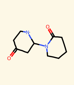 O=C1CC[N]C(N2CCCCC2=O)C1